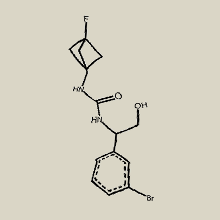 O=C(NC(CO)c1cccc(Br)c1)NC12CC(F)(C1)C2